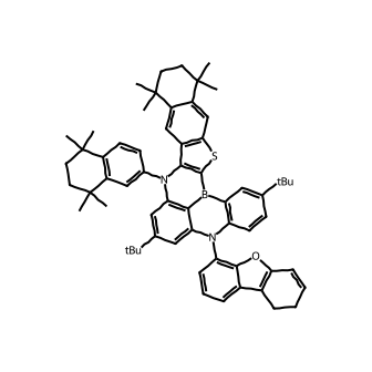 CC(C)(C)c1ccc2c(c1)B1c3sc4cc5c(cc4c3N(c3ccc4c(c3)C(C)(C)CCC4(C)C)c3cc(C(C)(C)C)cc(c31)N2c1cccc2c3c(oc12)C=CCC3)C(C)(C)CCC5(C)C